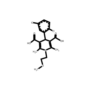 COCCN1C(C)=C(C(=O)O)C(c2cc(Cl)ccc2Cl)C(C(=O)O)=C1C